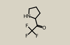 O=C(C1CCCN1)C(F)(F)F